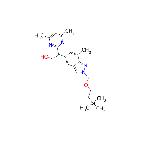 Cc1cc(C)nc(C(CO)c2cc(C)c3nn(COCC[Si](C)(C)C)cc3c2)n1